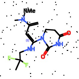 C=C(/C=C(/NCC(C)(F)F)N1CCC(=O)NC1=O)N(C)NC